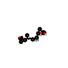 c1ccc(-c2ccc(-c3ccc4[nH]c5ccc(CCC(c6ccccc6)c6ccc7c(c6)C6(c8ccccc8-7)C7CC8CC(C7)C6C8)cc5c4c3)cc2[C@@H]2CCC3C[C@@H]4C[C@@H]2C[C@H]34)cc1